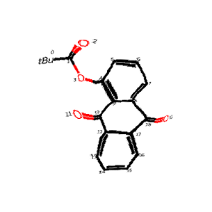 CC(C)(C)C(=O)Oc1cccc2c1C(=O)c1ccccc1C2=O